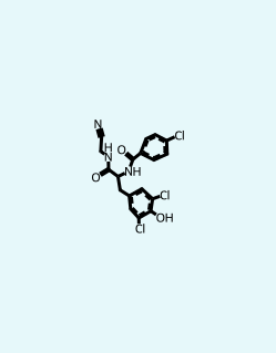 N#CCNC(=O)C(Cc1cc(Cl)c(O)c(Cl)c1)NC(=O)c1ccc(Cl)cc1